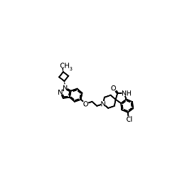 C[C@H]1C[C@H](n2ncc3cc(OCCN4CCC5(CC4)C(=O)Nc4ccc(Cl)cc45)ccc32)C1